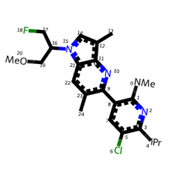 CNc1nc(C(C)C)c(Cl)cc1-c1nc2c(C)cn(C(CF)COC)c2cc1C